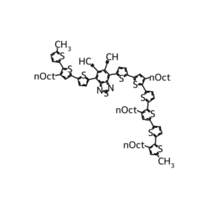 C#Cc1c(C#C)c(-c2ccc(-c3cc(CCCCCCCC)c(-c4ccc(-c5sc(-c6ccc(-c7sc(C)cc7CCCCCCCC)s6)cc5CCCCCCCC)s4)s3)s2)c2nsnc2c1-c1ccc(-c2cc(CCCCCCCC)c(-c3ccc(C)s3)s2)s1